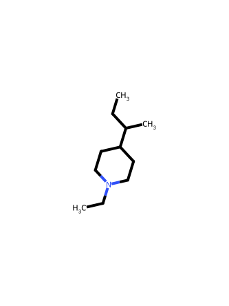 CCC(C)C1CCN(CC)CC1